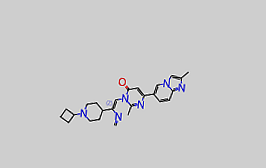 C=N/C(=C\n1c(C)nc(-c2ccc3nc(C)cn3c2)cc1=O)C1CCN(C2CCC2)CC1